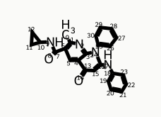 Cc1nc2c(cc1C(=O)NC1CC1)c(=O)cc(Nc1ccccc1)n2-c1ccccc1